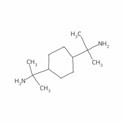 CC(C)(N)C1CCC(C(C)(C)N)CC1